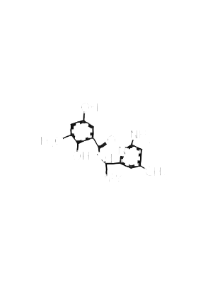 CCCC(NC(=O)c1cc(O)cc(C)c1O)c1cc(C)cc(N)n1